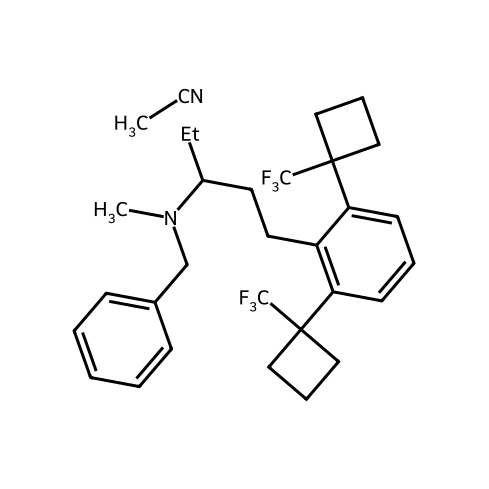 CC#N.CCC(CCc1c(C2(C(F)(F)F)CCC2)cccc1C1(C(F)(F)F)CCC1)N(C)Cc1ccccc1